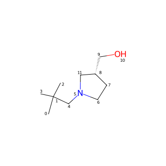 CC(C)(C)CN1CC[C@@H](CO)C1